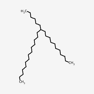 [CH2]CCCCCC(CCCCCCCCCCC)CCCCCCCCCCCCCC